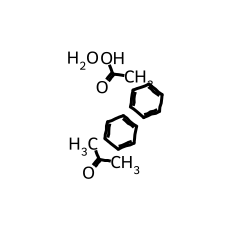 CC(=O)O.CC(C)=O.O.c1ccccc1.c1ccccc1